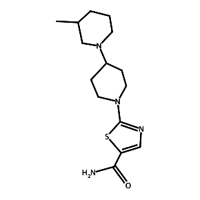 CC1CCCN(C2CCN(c3ncc(C(N)=O)s3)CC2)C1